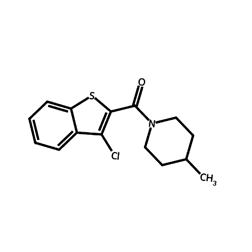 CC1CCN(C(=O)c2sc3ccccc3c2Cl)CC1